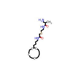 CC(CN)C(=O)NCCSCC(=O)NCCCCC1CCCCCCCCCCCCC1